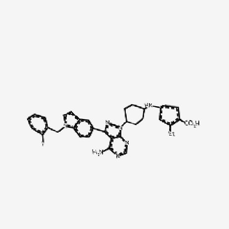 CCc1cc(NC2CCC(n3nc(-c4ccc5c(ccn5Cc5ccccc5F)c4)c4c(N)ncnc43)CC2)ccc1C(=O)O